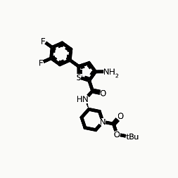 CC(C)(C)OC(=O)N1CCC[C@H](NC(=O)c2sc(-c3ccc(F)c(F)c3)cc2N)C1